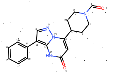 O=CN1CCC(c2cc(=O)[nH]c3c(-c4ccccc4)cnn23)CC1